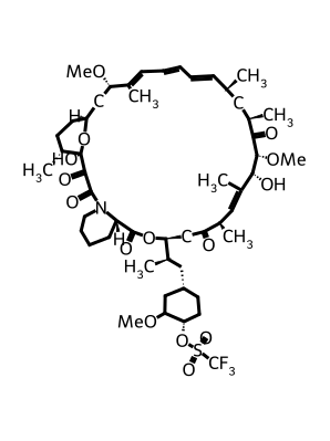 COC1C[C@H](C[C@@H](C)[C@@H]2CC(=O)[C@H](C)/C=C(\C)[C@@H](O)[C@@H](OC)C(=O)[C@H](C)C[C@H](C)/C=C/C=C/C=C(\C)[C@@H](OC)C[C@@H]3CC[C@@H](C)[C@@](O)(O3)C(=O)C(=O)N3CCCC[C@H]3C(=O)O2)CC[C@@H]1OS(=O)(=O)C(F)(F)F